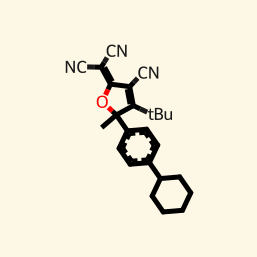 CC(C)(C)C1=C(C#N)C(=C(C#N)C#N)OC1(C)c1ccc(C2CCCCC2)cc1